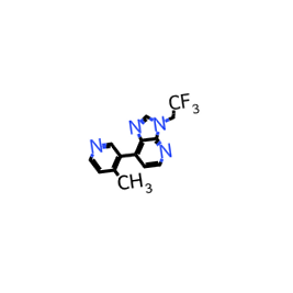 Cc1ccncc1-c1ccnc2c1ncn2CC(F)(F)F